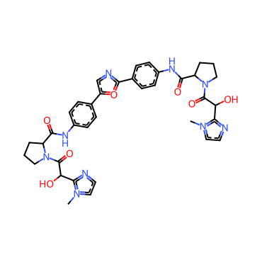 Cn1ccnc1C(O)C(=O)N1CCCC1C(=O)Nc1ccc(-c2cnc(-c3ccc(NC(=O)C4CCCN4C(=O)C(O)c4nccn4C)cc3)o2)cc1